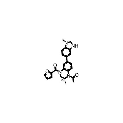 CC(=O)N1c2ccc(-c3ccc4c(c3)NCN4C)cc2N(C(=O)c2ccco2)C[C@@H]1C